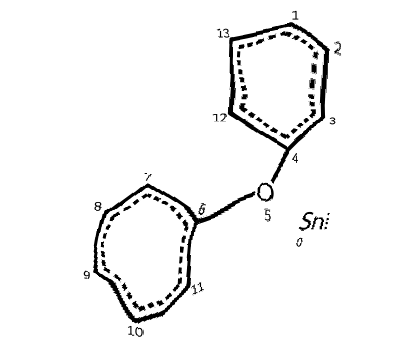 [Sn].c1ccc(Oc2ccccc2)cc1